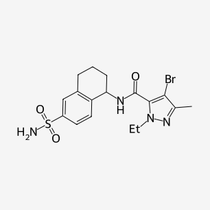 CCn1nc(C)c(Br)c1C(=O)NC1CCCc2cc(S(N)(=O)=O)ccc21